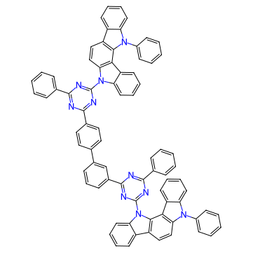 c1ccc(-c2nc(-c3ccc(-c4cccc(-c5nc(-c6ccccc6)nc(-n6c7ccccc7c7ccc8c(c9ccccc9n8-c8ccccc8)c76)n5)c4)cc3)nc(-n3c4ccccc4c4c3ccc3c5ccccc5n(-c5ccccc5)c34)n2)cc1